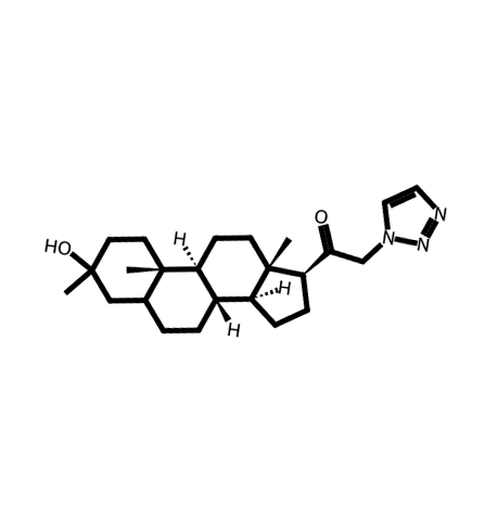 CC1(O)CC[C@@]2(C)C(CC[C@H]3[C@@H]4CC[C@H](C(=O)Cn5ccnn5)[C@@]4(C)CC[C@@H]32)C1